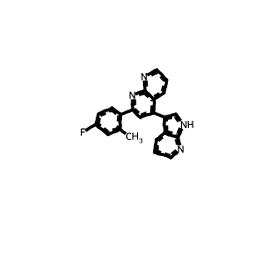 Cc1cc(F)ccc1-c1cc(-c2c[nH]c3ncccc23)c2cccnc2n1